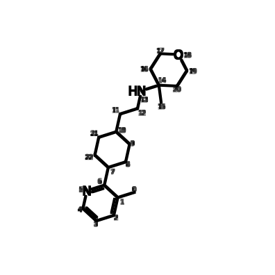 Cc1cccnc1C1CCC(CCNC2(C)CCOCC2)CC1